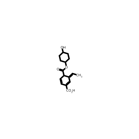 CC=C1C=C(C(=O)O)C=CC1C(=O)OC1CCC(O)CC1